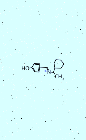 CC(/N=C/c1ccc(O)cc1)C1CCCCC1